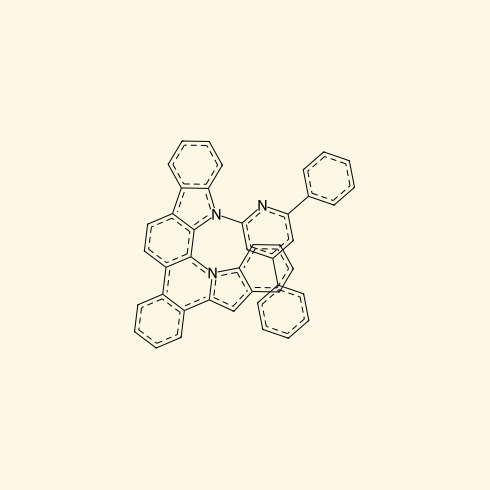 c1ccc(-c2cc(-c3ccccc3)nc(-n3c4ccccc4c4ccc5c6ccccc6c6cc7ccccc7n6c5c43)c2)cc1